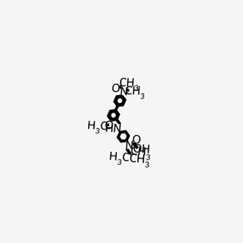 COc1ccc(-c2ccc(N(C)C(C)=O)cc2)cc1CNC1CCC(N(CC(C)(C)C)C(=O)O)CC1